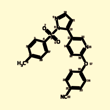 Cc1ccc(S(=O)(=O)n2nccc2-c2ccc(Oc3ccc(C#N)cc3)nc2)cc1